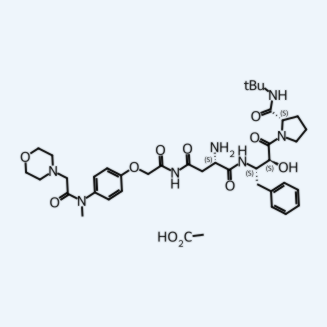 CC(=O)O.CN(C(=O)CN1CCOCC1)c1ccc(OCC(=O)NC(=O)C[C@H](N)C(=O)N[C@@H](Cc2ccccc2)[C@H](O)C(=O)N2CCC[C@H]2C(=O)NC(C)(C)C)cc1